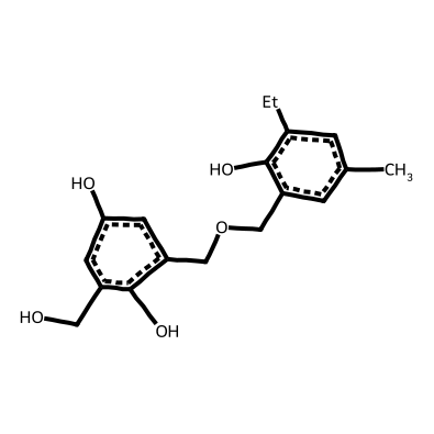 CCc1cc(C)cc(COCc2cc(O)cc(CO)c2O)c1O